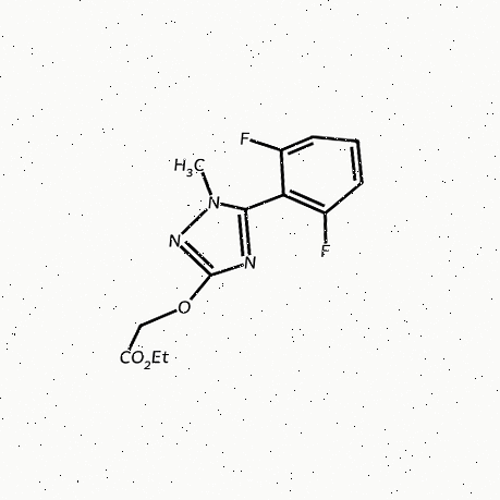 CCOC(=O)COc1nc(-c2c(F)cccc2F)n(C)n1